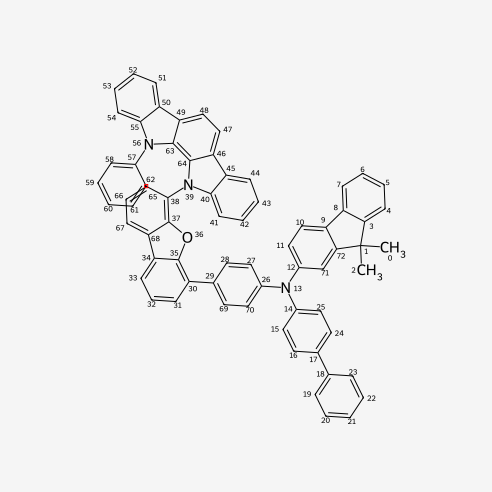 CC1(C)c2ccccc2-c2ccc(N(c3ccc(-c4ccccc4)cc3)c3ccc(-c4cccc5c4oc4c(-n6c7ccccc7c7ccc8c9ccccc9n(-c9ccccc9)c8c76)cccc45)cc3)cc21